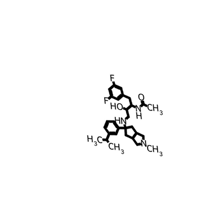 CC(=O)NC(Cc1cc(F)cc(F)c1)C(O)CNC1(c2cccc(C(C)C)c2)CC2CN(C)CC2C1